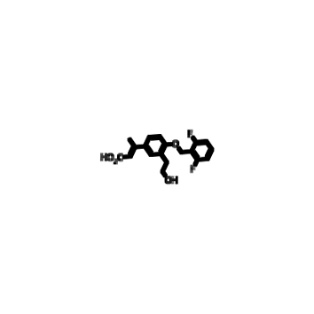 CC(=CC(=O)O)c1ccc(OCc2c(F)cccc2F)c(CCO)c1